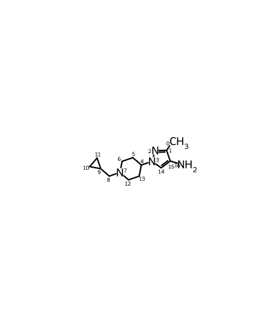 Cc1nn(C2CCN(CC3CC3)CC2)cc1N